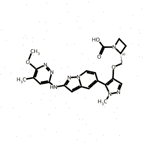 COc1nnc(Nc2cc3cc(-c4c(OC[C@H]5CCN5C(=O)O)cnn4C)ccn3n2)cc1C